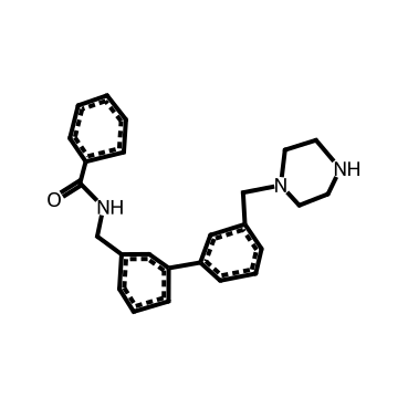 O=C(NCc1cccc(-c2cccc(CN3CCNCC3)c2)c1)c1ccccc1